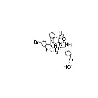 Cc1nc([C@H]([C@@H](C)c2ccccc2)N2C(=O)N[C@H](c3ccc(OCCO)cc3)C2=O)[nH]c1-c1ccc(Br)cc1F